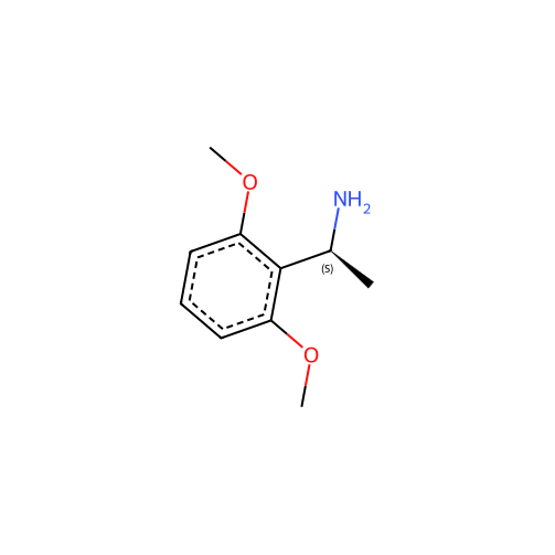 COc1cccc(OC)c1[C@H](C)N